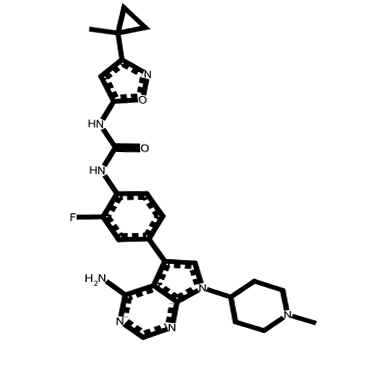 CN1CCC(n2cc(-c3ccc(NC(=O)Nc4cc(C5(C)CC5)no4)c(F)c3)c3c(N)ncnc32)CC1